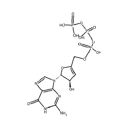 Nc1nc2c(ncn2[C@@H]2OC(COP(=O)(O)OP(=O)(O)OP(=O)(O)O)=C[C@H]2O)c(=O)[nH]1